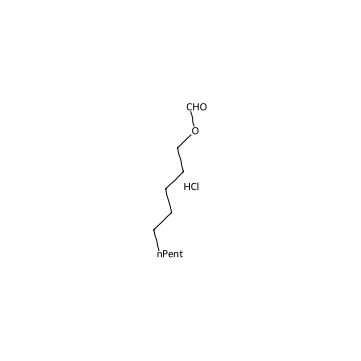 CCCCCCCCCCOC=O.Cl